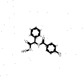 CCCOC(=O)C(OC(=O)c1ccc(CC)cc1)c1ccccc1